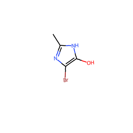 Cc1nc(Br)c(O)[nH]1